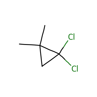 CC1(C)CC1(Cl)Cl